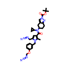 Cc1c(C(=O)N(C2CC2)C2CCc3nn(C(=O)OC(C)(C)C)cc3C2)cc(CN=[N+]=[N-])n1Cc1cccc(OCN=[N+]=[N-])c1